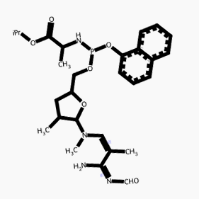 CC(=C/N(C)C1OC(COP(NC(C)C(=O)OC(C)C)Oc2cccc3ccccc23)CC1C)/C(N)=N\C=O